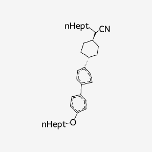 CCCCCCCOc1ccc(-c2ccc([C@H]3CC[C@H](C(C#N)CCCCCCC)CC3)cc2)cc1